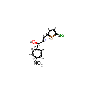 O=C(/C=C/c1ccc(Br)s1)c1ccc([N+](=O)[O-])cc1